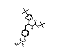 CC(C)(C)OC(=O)NC(Cc1ccc(OS(N)(=O)=O)cc1)c1nc(C(C)(C)C)cs1